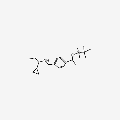 CCC(NCc1ccc(C(C)O[Si](C)(C)C(C)(C)C)cc1)C1CC1